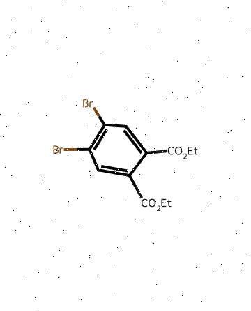 CCOC(=O)c1cc(Br)c(Br)cc1C(=O)OCC